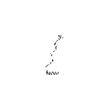 CNCCCC=CO